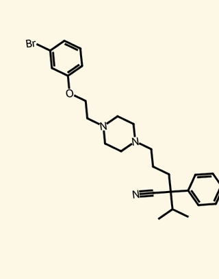 CC(C)C(C#N)(CCCN1CCN(CCOc2cccc(Br)c2)CC1)c1ccccc1